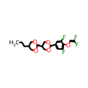 CCCC1COC(C2COC(c3cc(F)c(OC=C(F)F)c(F)c3)OC2)OC1